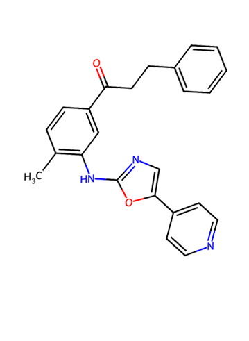 Cc1ccc(C(=O)CCc2ccccc2)cc1Nc1ncc(-c2ccncc2)o1